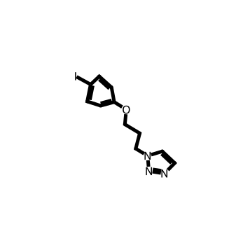 Ic1ccc(OCCCn2ccnn2)cc1